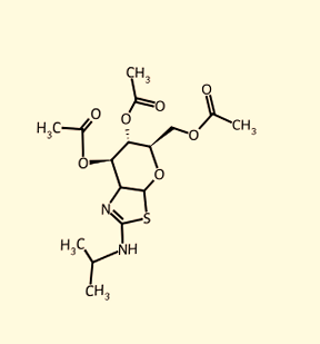 CC(=O)OC[C@H]1OC2SC(NC(C)C)=NC2[C@@H](OC(C)=O)[C@@H]1OC(C)=O